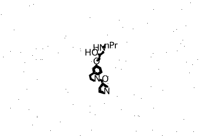 CCCNCC(O)COc1ccc2c(c1)CCCN2C(=O)c1cccnc1